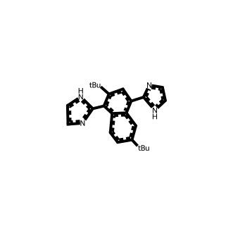 CC(C)(C)c1ccc2c(-c3ncc[nH]3)c(C(C)(C)C)cc(-c3ncc[nH]3)c2c1